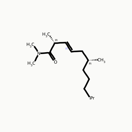 CC(C)CCC[C@@H](C)C/C=C/[C@@H](C)C(=O)N(C)C